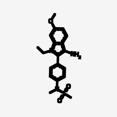 CCn1c(-c2ccc(N(C)S(C)(=O)=O)cc2)c(N)c2ccc(OC)cc21